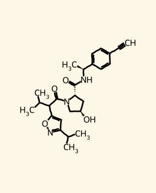 C#Cc1ccc([C@H](C)NC(=O)[C@@H]2C[C@@H](O)CN2C(=O)C(c2cc(C(C)C)no2)C(C)C)cc1